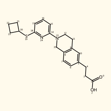 O=C(O)CCc1ccc2c(c1)CCN(c1cccc(SC3CCC3)n1)C2